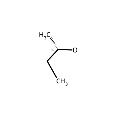 CC[C@H](C)[O]